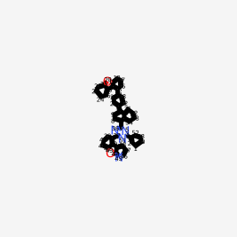 c1ccc(-c2nc(-c3ccc(-c4ccc(-c5cccc6oc7ccccc7c56)cc4)c4ccccc34)nc(-c3cccc4oc5ncccc5c34)n2)cc1